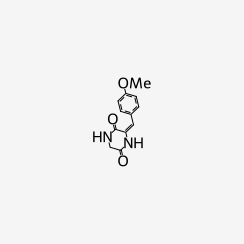 COc1ccc(/C=C2/NC(=O)CNC2=O)cc1